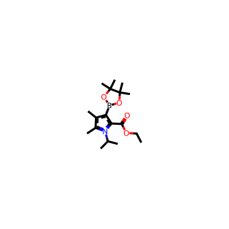 CCOC(=O)c1c(B2OC(C)(C)C(C)(C)O2)c(C)c(C)n1C(C)C